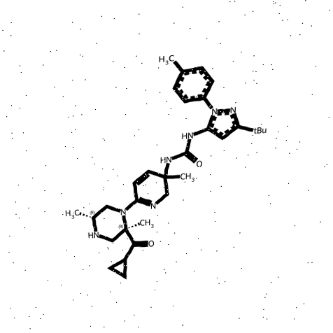 Cc1ccc(-n2nc(C(C)(C)C)cc2NC(=O)NC2(C)C=CC(N3C[C@@H](C)NC[C@]3(C)C(=O)C3CC3)=NC2)cc1